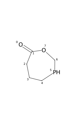 O=C1CCCPCO1